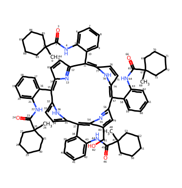 CC1(C(=O)Nc2ccccc2-c2c3nc(c(-c4ccccc4NC(=O)C4(C)CCCCC4)c4ccc([nH]4)c(-c4ccccc4NC(=O)C4(C)CCCCC4)c4nc(c(-c5ccccc5NC(=O)C5(C)CCCCC5)c5ccc2[nH]5)C=C4CO)C=C3)CCCCC1